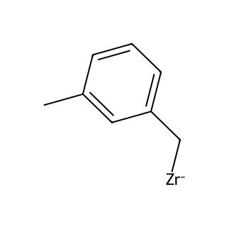 Cc1cccc([CH2][Zr-])c1